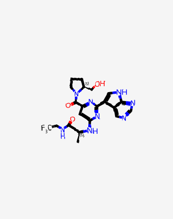 C[C@H](Nc1cc(C(=O)N2CCC[C@H]2CO)nc(-c2c[nH]c3ncncc23)n1)C(=O)NCC(F)(F)F